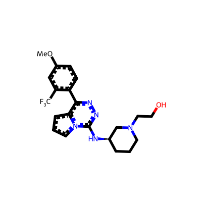 COc1ccc(-c2nnc(N[C@@H]3CCCN(CCO)C3)n3cccc23)c(C(F)(F)F)c1